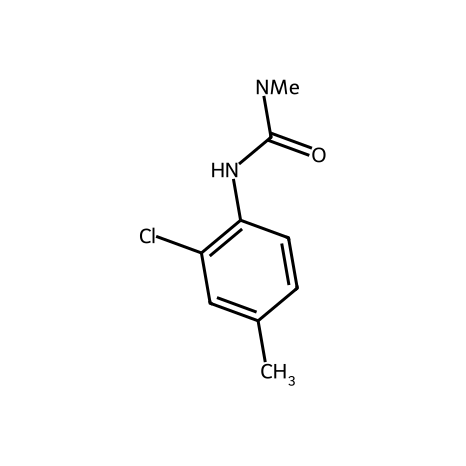 CNC(=O)Nc1ccc(C)cc1Cl